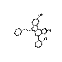 Oc1ccc2c(c1)c1c3c[nH]cc3c(-c3ccccc3Cl)cc1n2CCc1ccccc1